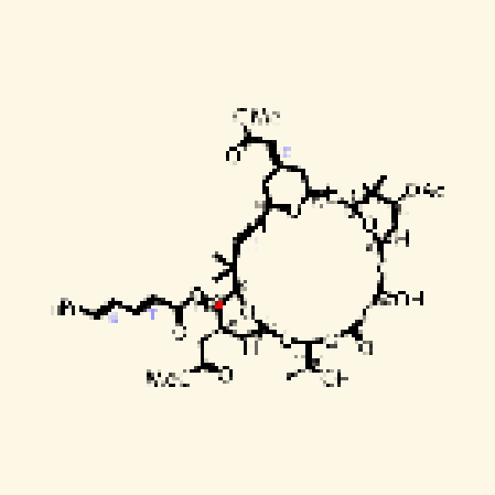 CCC/C=C/C=C/C(=O)O[C@H]1[C@H](CC(=O)OC)C[C@H]2C[C@H]([C@H](C)O)OC(=O)C[C@H](O)C[C@@H]3C[C@H](OC(C)=O)C(C)(C)[C@](O)(C[C@@H]4C/C(=C/C(=O)OC)C[C@H](/C=C/C(C)(C)[C@]1(O)O2)O4)O3